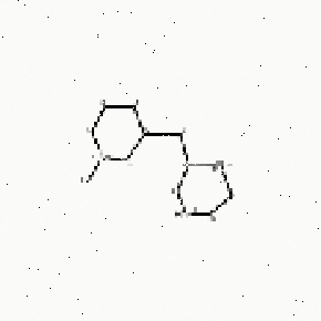 CN1CCCC(CC2CNCCN2)C1